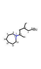 CCC(C)CC(C)CC(C)N1CCCCCC1